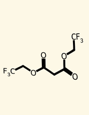 O=C(CC(=O)OCC(F)(F)F)OCC(F)(F)F